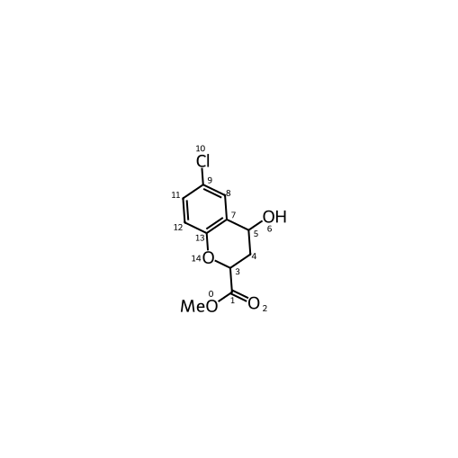 COC(=O)C1CC(O)c2cc(Cl)ccc2O1